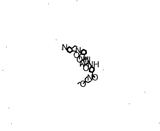 CCOC1CCN(C(=O)c2ccc(Nc3nc(-c4cccc(N5CCc6cc(N(C)C)ccc6C5=O)c4CO)cn(C)c3=O)cc2)CC1